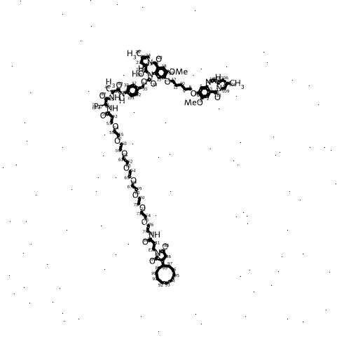 COc1cc2c(cc1OCCCCCOc1cc3c(cc1OC)C(=O)N1C=C(C)C[C@H]1[C@H](O)N3C(=O)OCc1ccc(NC(=O)[C@H](C)NC(=O)[C@@H](NC(=O)CCOCCOCCOCCOCCOCCOCCOCCOCCNC(=O)CCN3C(=O)CC(C4CCCCCCCCC4)C3=O)C(C)C)cc1)N=C[C@@H]1CC(C)=CN1C2=O